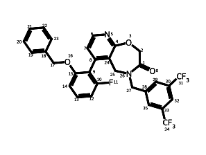 O=C1COc2nccc(-c3c(F)cccc3OCc3ccccc3)c2CN1Cc1cc(C(F)(F)F)cc(C(F)(F)F)c1